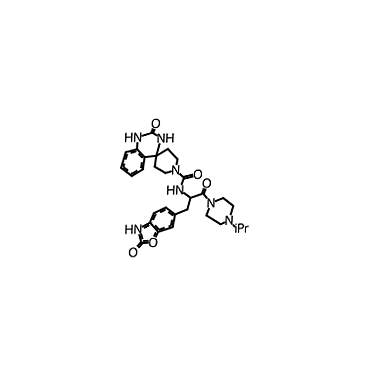 CC(C)N1CCN(C(=O)C(Cc2ccc3[nH]c(=O)oc3c2)NC(=O)N2CCC3(CC2)NC(=O)Nc2ccccc23)CC1